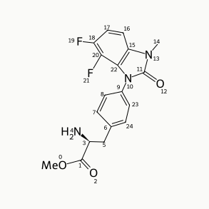 COC(=O)[C@@H](N)Cc1ccc(-n2c(=O)n(C)c3ccc(F)c(F)c32)cc1